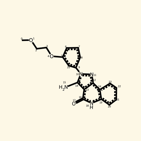 COCCOc1cccc(-n2nc3c(c2N)c(=O)[nH]c2ccccc23)c1